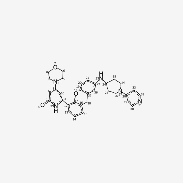 O=c1cc(N2CCOCC2)cc(-c2cccc3c2Oc2ccc(NC4CCN(c5ccncc5)CC4)cc2C3)[nH]1